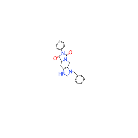 O=C1C2CC3=C(CN2C(=O)N1c1ccccc1)N(Cc1ccccc1)CN3